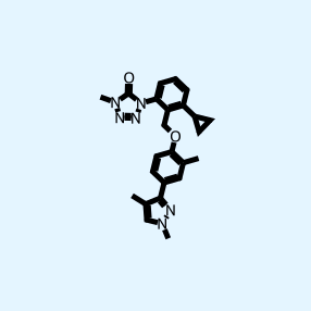 Cc1cc(-c2nn(C)cc2C)ccc1OCc1c(C2CC2)cccc1-n1nnn(C)c1=O